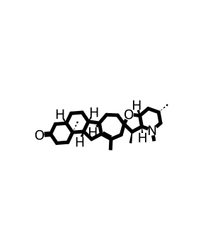 CC1=C2C[C@H]3[C@@H](CC[C@@H]4CC(=O)CC[C@@]43C)[C@@H]2CCC2(C1)O[C@@H]1C[C@H](C)CN(C)[C@H]1[C@H]2C